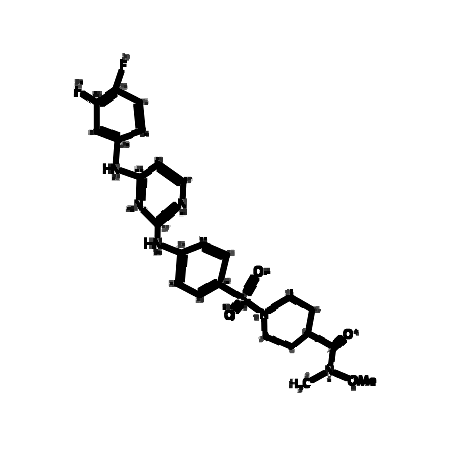 CON(C)C(=O)C1CCN(S(=O)(=O)c2ccc(Nc3nccc(Nc4ccc(F)c(F)c4)n3)cc2)CC1